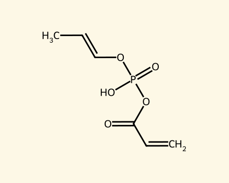 C=CC(=O)OP(=O)(O)OC=CC